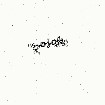 C[C@@H]1CN(c2ccc(NC(=O)N3CCC(NS(=O)(=O)C(C)(C)C)CC3)cn2)C[C@H](C)O1